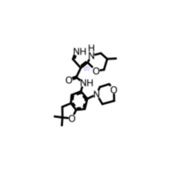 CC1CN/C(=C(\C=N)C(=O)Nc2cc3c(cc2N2CCOCC2)OC(C)(C)C3)OC1